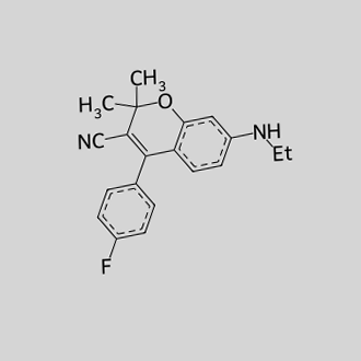 CCNc1ccc2c(c1)OC(C)(C)C(C#N)=C2c1ccc(F)cc1